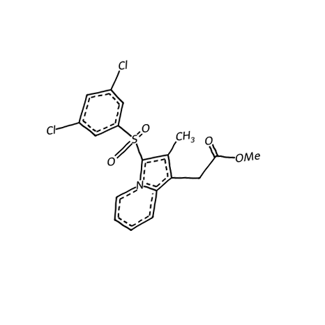 COC(=O)Cc1c(C)c(S(=O)(=O)c2cc(Cl)cc(Cl)c2)n2ccccc12